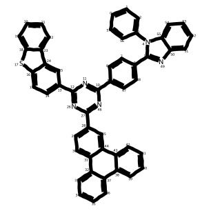 c1ccc(-n2c(-c3ccc(-c4nc(-c5ccc6sc7ccccc7c6c5)nc(-c5ccc6c7ccccc7c7ccccc7c6c5)n4)cc3)nc3ccccc32)cc1